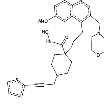 COc1ccc2ncc(CN3CCOCC3)c(CCCC3(C(=O)NO)CCN(CC#Cc4cccs4)CC3)c2c1